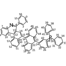 c1ccc(-c2nc3ccccc3c3c2cc(-c2c4ccccc4c(-c4cccc(P(c5ccccc5)c5ccccc5)c4)c4ccccc24)c2ccccc23)cc1